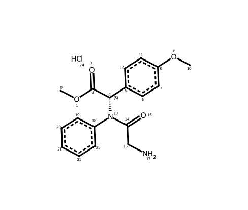 COC(=O)[C@H](c1ccc(OC)cc1)N(C(=O)CN)c1ccccc1.Cl